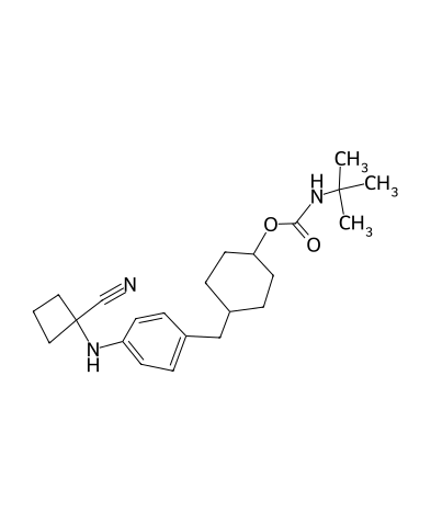 CC(C)(C)NC(=O)OC1CCC(Cc2ccc(NC3(C#N)CCC3)cc2)CC1